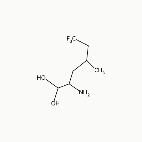 CC(CC(N)C(O)O)CC(F)(F)F